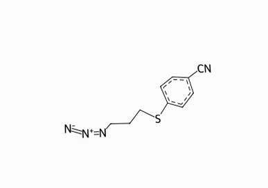 N#Cc1ccc(SCCCN=[N+]=[N-])cc1